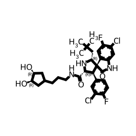 CC(C)(C)C[C@H]1N[C@@H](C(=O)NCCCC2C[C@@H](O)[C@H](O)C2)[C@H](c2ccc(F)c(Cl)c2)[C@@]12C(=O)Nc1cc(Cl)c(F)cc12